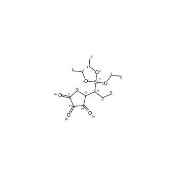 CCO[Si](OCC)(OCC)C(CC)C1CC(=O)C(=O)C1=O